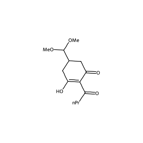 CCCC(=O)C1=C(O)CC(C(OC)OC)CC1=O